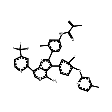 C=C(C)C(=O)Nc1ccc(-c2sc3c(-c4cc(C(F)(F)F)ccn4)cnc(N)c3c2-c2ccc(Oc3nccc(C)n3)c(F)c2)c(C)c1